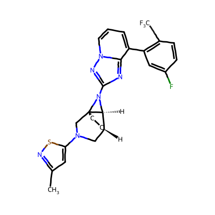 Cc1cc(N2C[C@@H]3CC[C@]4(C2)[C@H]3N4c2nc3c(-c4cc(F)ccc4C(F)(F)F)cccn3n2)sn1